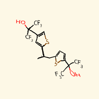 C[C](c1cc(C(O)(C(F)(F)F)C(F)(F)F)cs1)c1ccc(C(O)(C(F)(F)F)C(F)(F)F)s1